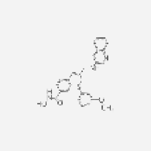 COc1cccc(SCC(=Cc2ccc(C(=O)NO)cc2)CNc2cnc3ccccc3c2)c1